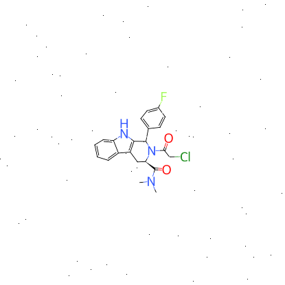 CN(C)C(=O)[C@H]1Cc2c([nH]c3ccccc23)C(c2ccc(F)cc2)N1C(=O)CCl